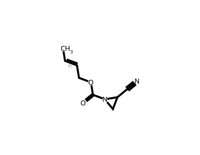 C/C=C/COC(=O)N1CC1C#N